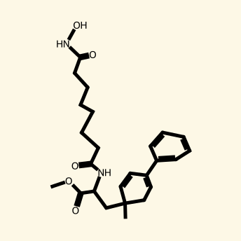 COC(=O)C(CC1(C)C=CC(c2ccccc2)=CC1)NC(=O)CCCCCCC(=O)NO